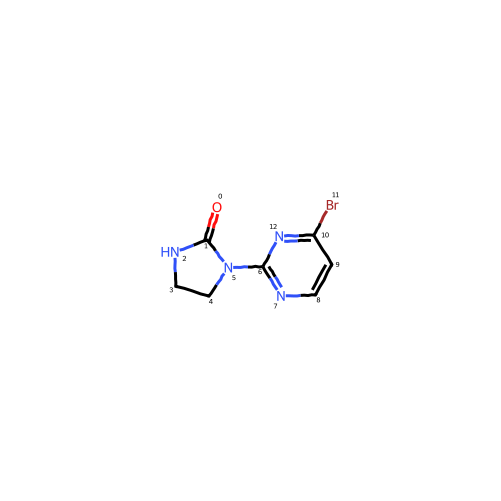 O=C1NCCN1c1nccc(Br)n1